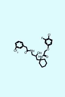 O=C(Cc1cccc(C(F)(F)F)c1)NCC(O)CC1(NC(=O)COc2ccc(Cl)c(F)c2)CCCCC1